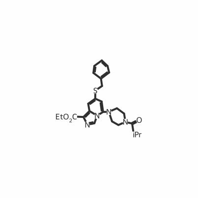 CCOC(=O)c1ncn2c(N3CCN(C(=O)C(C)C)CC3)cc(SCc3ccccc3)cc12